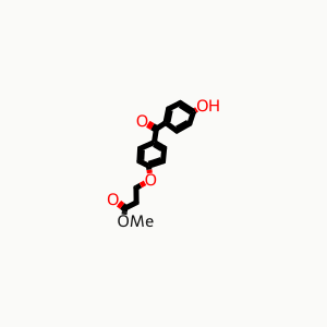 COC(=O)CCOc1ccc(C(=O)c2ccc(O)cc2)cc1